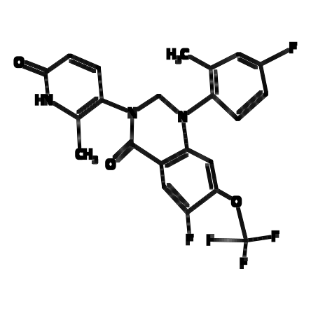 Cc1cc(F)ccc1N1CN(c2ccc(=O)[nH]c2C)C(=O)c2cc(F)c(OC(F)(F)F)cc21